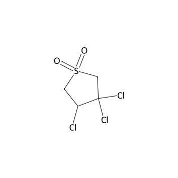 O=S1(=O)CC(Cl)C(Cl)(Cl)C1